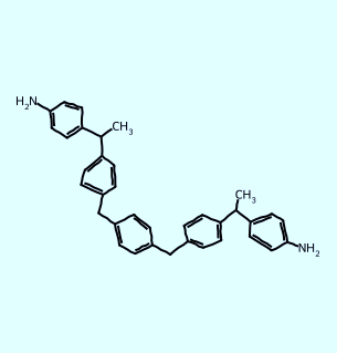 CC(c1ccc(N)cc1)c1ccc(Cc2ccc(Cc3ccc(C(C)c4ccc(N)cc4)cc3)cc2)cc1